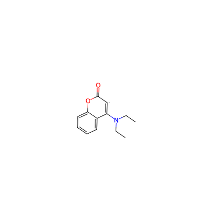 CCN(CC)c1[c]c(=O)oc2ccccc12